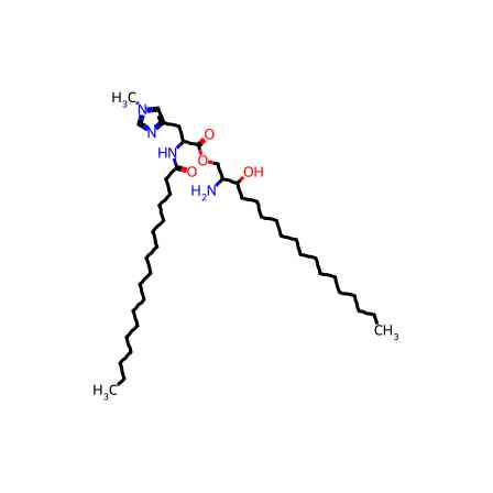 CCCCCCCCCCCCCCCCCC(=O)NC(Cc1cn(C)cn1)C(=O)OCC(N)C(O)CCCCCCCCCCCCCCC